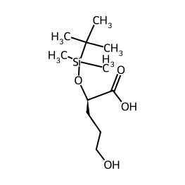 CC(C)(C)[Si](C)(C)O[C@H](CCCO)C(=O)O